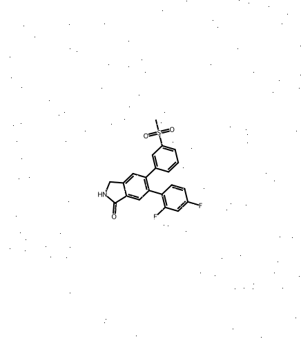 CS(=O)(=O)c1cccc(-c2cc3c(cc2-c2ccc(F)cc2F)C(=O)NC3)c1